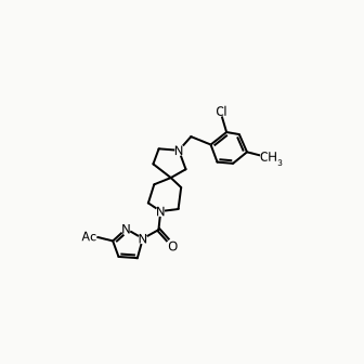 CC(=O)c1ccn(C(=O)N2CCC3(CCN(Cc4ccc(C)cc4Cl)C3)CC2)n1